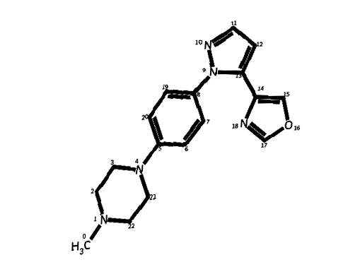 CN1CCN(c2ccc(-n3nccc3-c3cocn3)cc2)CC1